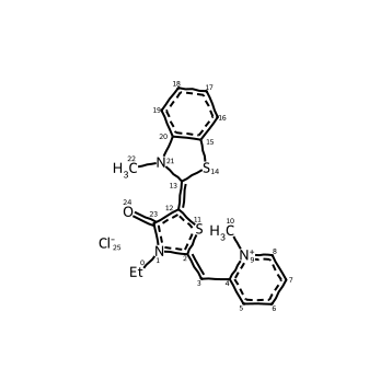 CCn1c(=Cc2cccc[n+]2C)sc(=C2Sc3ccccc3N2C)c1=O.[Cl-]